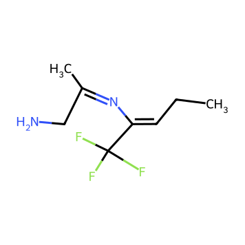 CC/C=C(\N=C(\C)CN)C(F)(F)F